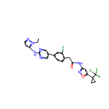 CCn1nccc1Nc1ncc(-c2ccc(CC(=O)Nc3cc(C4(C(F)(F)F)CC4)on3)c(F)c2)cn1